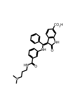 CN(C)CCCNC(=O)c1cccc(N/C(=C2\C(=O)Nc3cc(C(=O)O)ccc32)c2ccccc2)c1